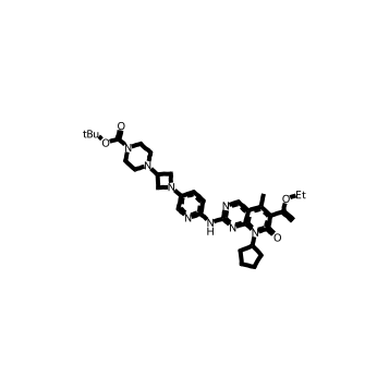 C=C(OCC)c1c(C)c2cnc(Nc3ccc(N4CC(N5CCN(C(=O)OC(C)(C)C)CC5)C4)cn3)nc2n(C2CCCC2)c1=O